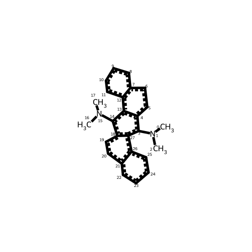 CN(C)c1c2ccc3ccccc3c2c(N(C)C)c2ccc3ccccc3c12